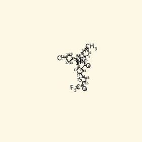 CN1CCC(CNC(=O)c2cccc(-c3ccc(C(=O)C(F)(F)F)s3)c2)(c2csc(-c3ccc(Cl)cc3)n2)CC1